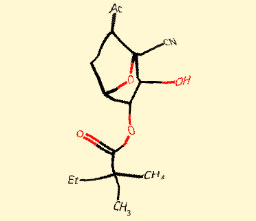 CCC(C)(C)C(=O)OC1C2CC(C(C)=O)C(C#N)(O2)C1O